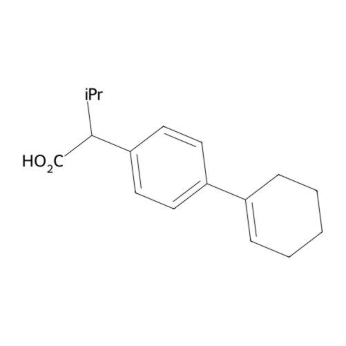 CC(C)C(C(=O)O)c1ccc(C2=CCCCC2)cc1